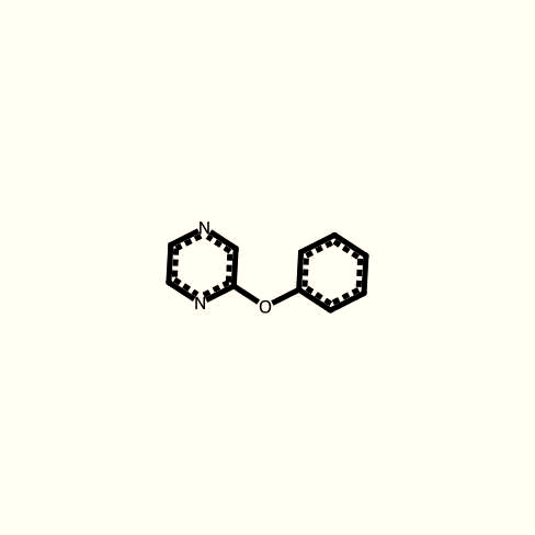 c1ccc(Oc2cnccn2)cc1